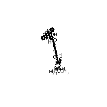 CCC(=O)[C@H](CSC1CC(=O)N(CCC(=O)NCCOCCOCCNC(=O)c2ccc(C(c3c(O)c4ccccc4oc3=O)c3c(O)c4ccccc4oc3=O)cc2)C1=O)NC(C)C